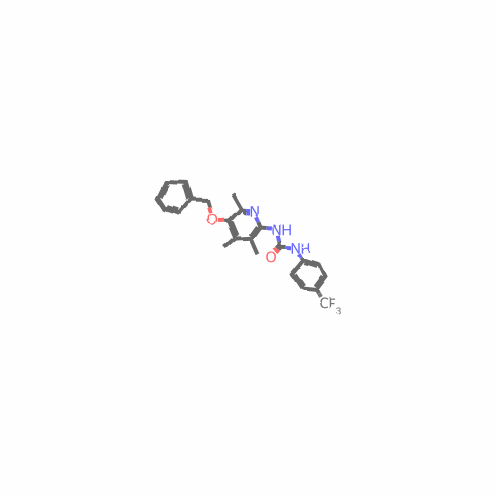 Cc1nc(NC(=O)Nc2ccc(C(F)(F)F)cc2)c(C)c(C)c1OCc1ccccc1